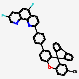 N#Cc1ccc2c(c1)C1(c3cc(-c4ccc(-c5ccc6c(F)cc7cc(F)cnc7c6n5)cc4)ccc3O2)c2ccccc2-c2ccccc21